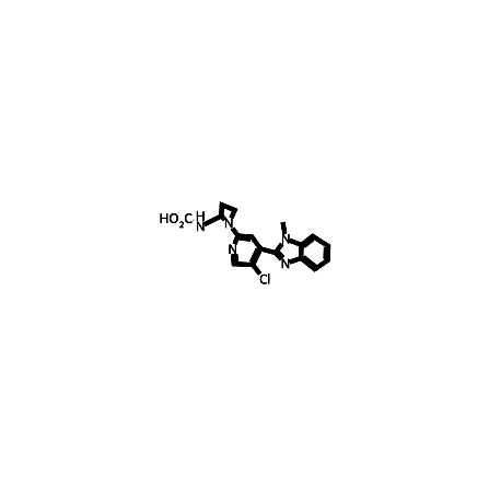 Cn1c(-c2cc(N3CCC3NC(=O)O)ncc2Cl)nc2ccccc21